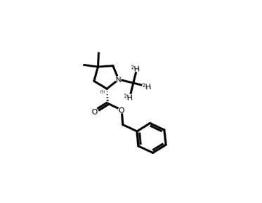 [2H]C([2H])([2H])N1CC(C)(C)C[C@H]1C(=O)OCc1ccccc1